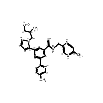 Cc1ccc(-c2cc(C(=O)NCc3cnc(C)cn3)cc(-c3ccnn3CC(C)CC=O)c2)nc1